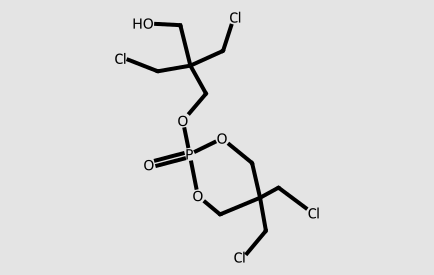 O=P1(OCC(CO)(CCl)CCl)OCC(CCl)(CCl)CO1